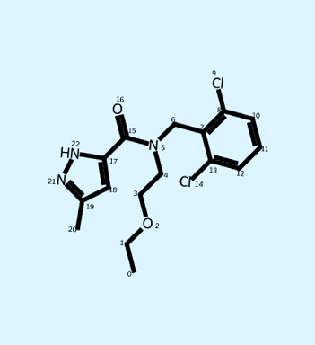 CCOCCN(Cc1c(Cl)cccc1Cl)C(=O)c1cc(C)n[nH]1